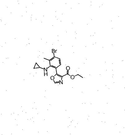 CCOC(=O)c1ncoc1-c1ccc(Br)c(C)c1NC1CC1